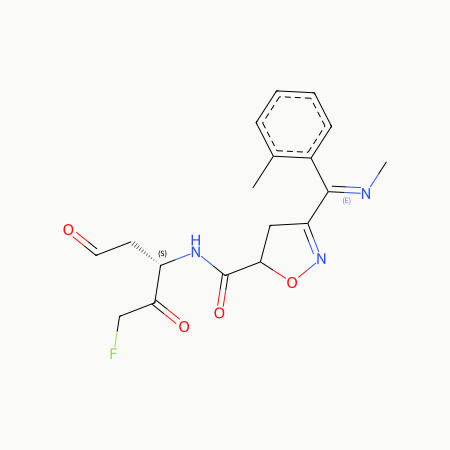 C/N=C(/C1=NOC(C(=O)N[C@@H](CC=O)C(=O)CF)C1)c1ccccc1C